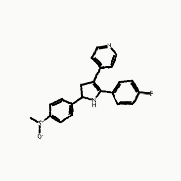 C[S+]([O-])c1ccc(C2CC(c3ccncc3)=C(c3ccc(F)cc3)N2)cc1